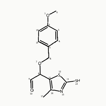 COc1ccc(COC(C=O)c2sc(S)nc2C)cc1